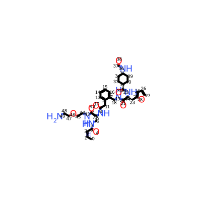 C/C=C\C(=O)NC[C@H](NC(=O)Cc1ccccc1CNC(=O)[C@H](Cc1ccco1)NC(=O)[C@H]1CC[C@@H](NC=O)CC1)C(=O)NCCOCCN